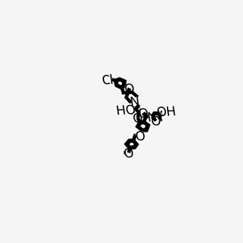 COc1ccc(COc2ccc(C(=O)N3C[C@H](O)CO3)c(OC[C@H](O)CN3CCC4(CC3)Cc3cc(Cl)ccc3O4)c2)cc1